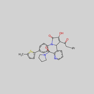 Cc1ccc(-c2ccc(N3C(=O)C(O)=C(C(=O)CC(C)C)C3c3cccnc3C(=O)N3CCCC3)cc2)s1